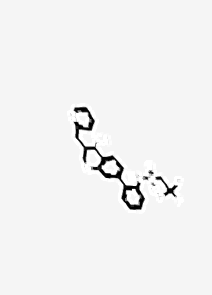 O=S(=O)(CC(F)(F)F)Nc1ccccc1-c1ccc2c(c1)OCC(Cc1ccccn1)[C@H]2O